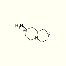 N[C@@H]1CCN2CCOCC2C1